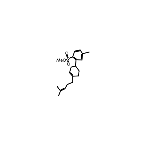 COS(=O)(=O)c1ccc(C)cc1C1CC=C(CCC=C(C)C)CC1